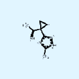 CC(=N)C1(c2n[nH]c(C)n2)CC1